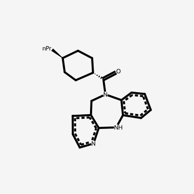 CCC[C@H]1CC[C@H](C(=O)N2Cc3cccnc3Nc3ccccc32)CC1